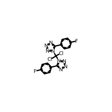 Fc1ccc(-c2nnnn2C(Cl)(Cl)n2nnnc2-c2ccc(F)cc2)cc1